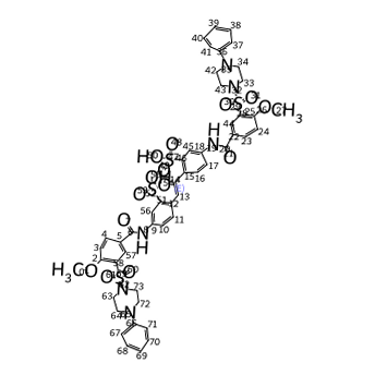 COc1ccc(C(=O)Nc2ccc(/C=C/c3ccc(NC(=O)c4ccc(OC)c(S(=O)(=O)N5CCN(c6ccccc6)CC5)c4)cc3S(=O)(=O)O)c(S(=O)(=O)O)c2)cc1S(=O)(=O)N1CCN(c2ccccc2)CC1